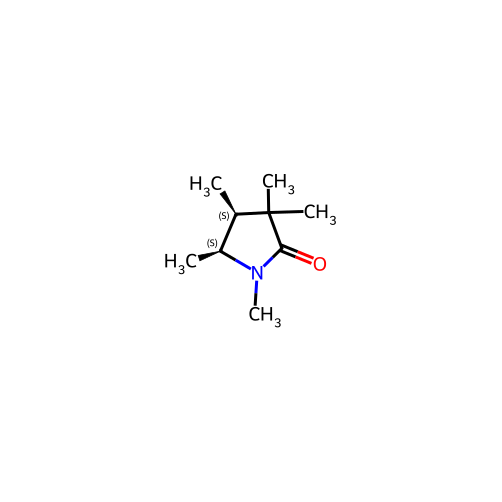 C[C@@H]1[C@H](C)N(C)C(=O)C1(C)C